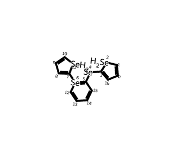 C1=C[SeH2]C([Se]C2=[Se](C3=CC=C[SeH2]3)C=CC=C2)=C1